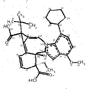 CC[C@]1(C(=O)O)CC=CC2=C3C(=Cn4c(cc5c(OC)ccc(C6CCCCC6)c54)[C@@H]21)C3(C(=O)O)C(C)(C)C